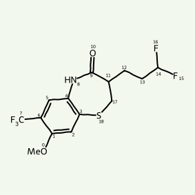 COc1cc2c(cc1C(F)(F)F)NC(=O)C(CCC(F)F)CS2